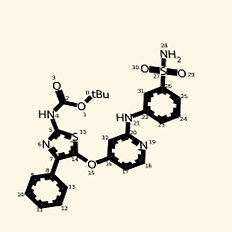 CC(C)(C)OC(=O)Nc1nc(-c2ccccc2)c(Oc2ccnc(Nc3cccc(S(N)(=O)=O)c3)c2)s1